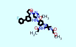 C=CC(=O)Nc1cc(Nc2cc(N3OCCC3c3cccc(-c4cccc(F)c4)c3)ncn2)c(OC)cc1N1CC2(CN(C(=O)COC)C2)C1